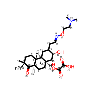 CCC[C@@]1(C)CC[C@H]2[C@@H](CC[C@@H]3C[C@@H](O)C(C/C=N/OCCN(C)C)C[C@@]32C)C1=O.O=C(O)C(=O)O